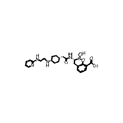 O=C(C[C@H]1CC[C@H](NCCNc2ccccn2)CC1)N[C@H]1Cc2cccc(C(=O)O)c2OB1O